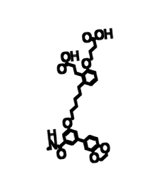 CNC(=O)c1cc(OCCCCCCc2cccc(OCCCC(=O)O)c2CCC(=O)O)cc(-c2ccc3c(c2)OCCO3)c1